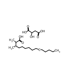 CCCCCCCCCCCCN(C)C(C)C(=O)O.O=C(O)CC(O)C(=O)O